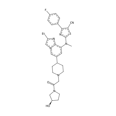 CCc1cn2cc(C3CCN(CC(=O)N4CC[C@@H](O)C4)CC3)cc(N(C)c3nc(-c4ccc(F)cc4)c(C#N)s3)c2n1